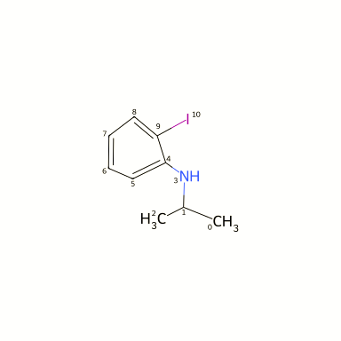 CC(C)Nc1ccccc1I